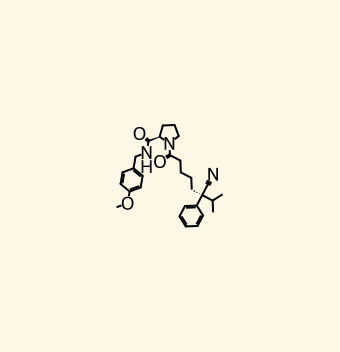 COc1ccc(CNC(=O)[C@H]2CCCN2C(=O)CCCC[C@@](C#N)(c2ccccc2)C(C)C)cc1